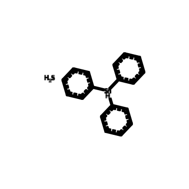 S.c1cc[c]([SnH]([c]2ccccc2)[c]2ccccc2)cc1